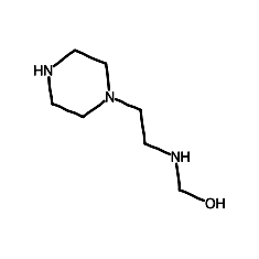 OCNCCN1CCNCC1